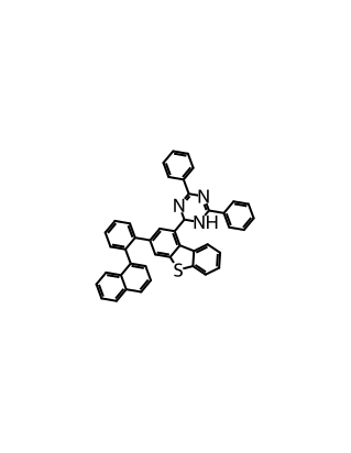 c1ccc(C2=NC(c3cc(-c4ccccc4-c4cccc5ccccc45)cc4sc5ccccc5c34)NC(c3ccccc3)=N2)cc1